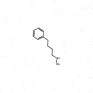 CC(C)(C)NCCCCc1ccccc1